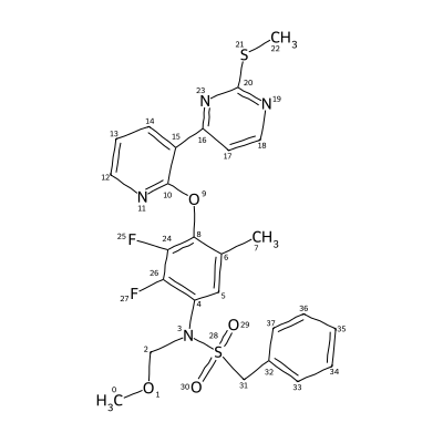 COCN(c1cc(C)c(Oc2ncccc2-c2ccnc(SC)n2)c(F)c1F)S(=O)(=O)Cc1ccccc1